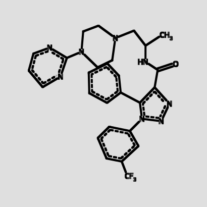 CC(CN1CCN(c2ncccn2)CC1)NC(=O)c1nnn(-c2cccc(C(F)(F)F)c2)c1-c1ccccc1